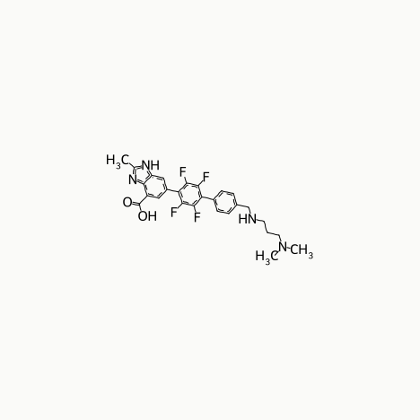 Cc1nc2c(C(=O)O)cc(-c3c(F)c(F)c(-c4ccc(CNCCCN(C)C)cc4)c(F)c3F)cc2[nH]1